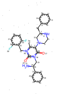 Cc1c(N2CCN[C@H](Cc3ccccc3)C2)c(=O)n(C[C@H](N)c2ccccc2)c(=O)n1Cc1c(F)cccc1F